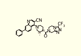 C[C@@H]1CN(c2c(C#N)cnc3cc(-c4ccccc4)ccc23)CC[C@@H]1C(=O)N1CCn2c(nnc2C(F)(F)F)C1